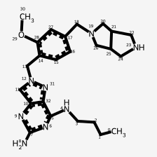 CCCCNc1nc(N)nc2cn(Cc3ccc(CN4CC5CNCC5C4)cc3OC)nc12